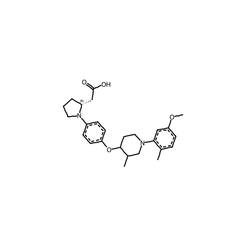 COc1ccc(C)c(N2CCC(Oc3ccc(N4CCC[C@@H]4CC(=O)O)cc3)C(C)C2)c1